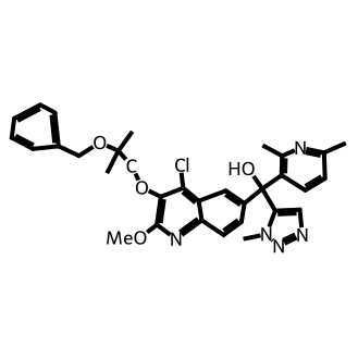 COc1nc2ccc(C(O)(c3ccc(C)nc3C)c3cnnn3C)cc2c(Cl)c1OCC(C)(C)OCc1ccccc1